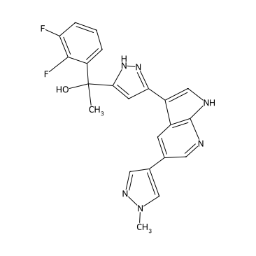 Cn1cc(-c2cnc3[nH]cc(-c4cc(C(C)(O)c5cccc(F)c5F)[nH]n4)c3c2)cn1